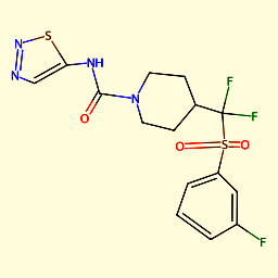 O=C(Nc1cnns1)N1CCC(C(F)(F)S(=O)(=O)c2cccc(F)c2)CC1